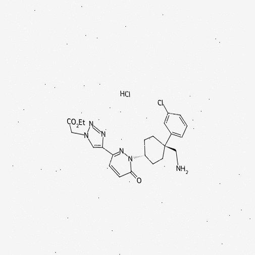 CCOC(=O)Cn1cc(-c2ccc(=O)n([C@H]3CC[C@@](CN)(c4cccc(Cl)c4)CC3)n2)nn1.Cl